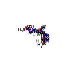 COC(=O)N[C@H](C(=O)N1CCC[C@H]1c1ncc(-c2cc(F)c3c(c2)OC(c2nc4c(s2)CCC4)n2c-3cc3cc(-c4cnc([C@@H]5CCCN5C(=O)[C@@H](NC(=O)OC)C(C)C)[nH]4)ccc32)[nH]1)C(C)C